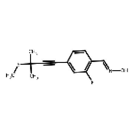 CSC(C)(C)C#Cc1ccc(/C=N/O)c(F)c1